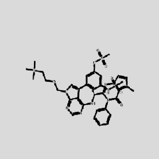 Cc1ccn2nc([C@H](C)Nc3ncnc4c3c(-c3cc(NS(C)(=O)=O)cc(OS(C)(=O)=O)c3)cn4COCC[Si](C)(C)C)n(-c3ccccc3)c(=O)c12